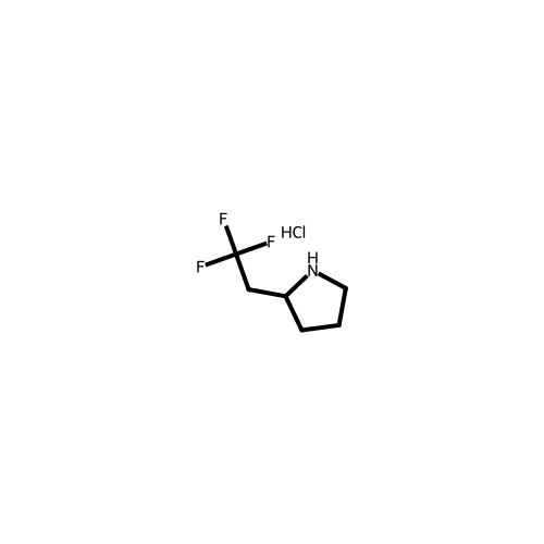 Cl.FC(F)(F)CC1CCCN1